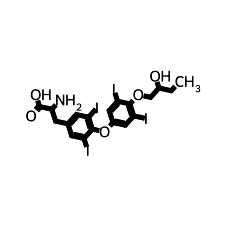 CCC(O)COc1c(I)cc(Oc2c(I)cc(CC(N)C(=O)O)cc2I)cc1I